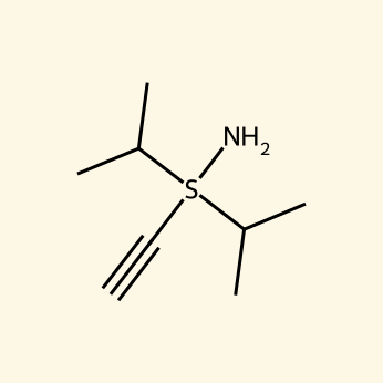 C#CS(N)(C(C)C)C(C)C